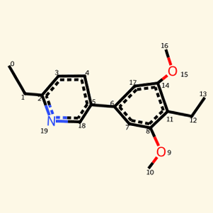 CCc1ccc(-c2cc(OC)c(CC)c(OC)c2)cn1